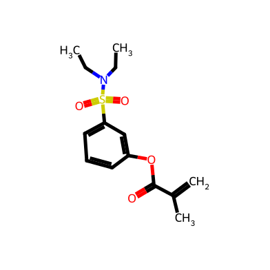 C=C(C)C(=O)Oc1cccc(S(=O)(=O)N(CC)CC)c1